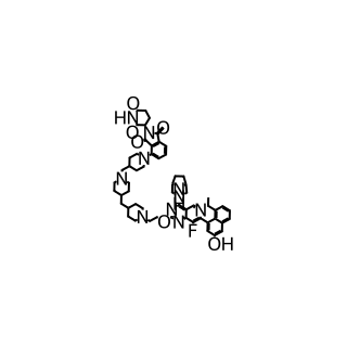 CCc1cccc2cc(O)cc(-c3ncc4c(N5CC6CCC(C5)N6)nc(OCCN5CCC(CC6CCN(CC7CCN(c8cccc9c8C(=O)N(C8CCC(=O)NC8=O)C9=O)CC7)CC6)CC5)nc4c3F)c12